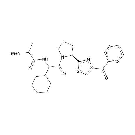 CNC(C)C(=O)NC(C(=O)N1CCC[C@H]1c1nc(C(=O)c2ccccc2)cs1)C1CCCCC1